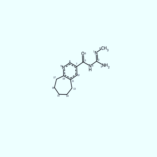 CN=C(N)NC(=O)c1cnc2c(c1)CCCCC2